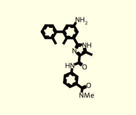 CNC(=O)c1cccc(NC(=O)c2nc(-c3cc(N)cc(-c4ccccc4C)c3C)[nH]c2C)c1